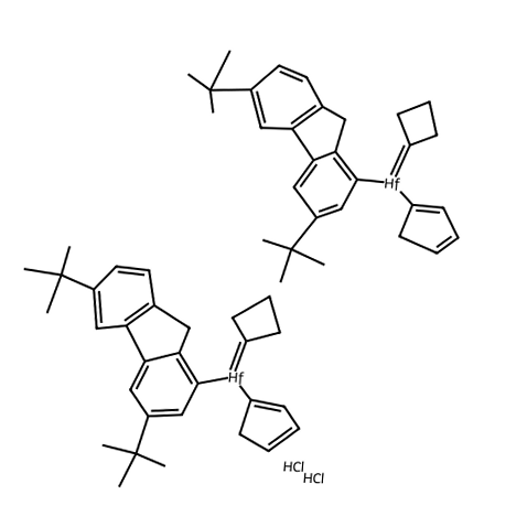 CC(C)(C)c1ccc2c(c1)-c1cc(C(C)(C)C)c[c]([Hf]([C]3=CC=CC3)=[C]3CCC3)c1C2.CC(C)(C)c1ccc2c(c1)-c1cc(C(C)(C)C)c[c]([Hf]([C]3=CC=CC3)=[C]3CCC3)c1C2.Cl.Cl